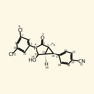 C[C@@]12C(=O)N(c3cc(Cl)cc(Cl)c3)C(O)[C@@H]1[C@@H]2c1ccc(C#N)cc1